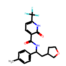 Cc1ccc(C(CC2CCOC2)NC(=O)c2ccc(C(F)(F)F)[nH]c2=O)cc1